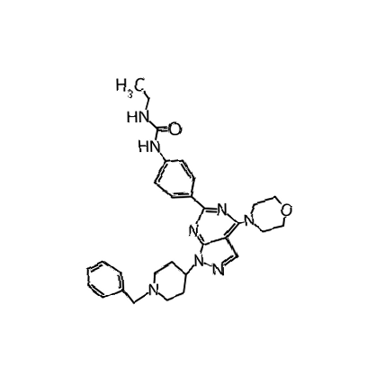 CCNC(=O)Nc1ccc(-c2nc(N3CCOCC3)c3cnn(C4CCN(Cc5ccccc5)CC4)c3n2)cc1